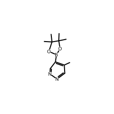 Cc1cnncc1B1OC(C)(C)C(C)(C)O1